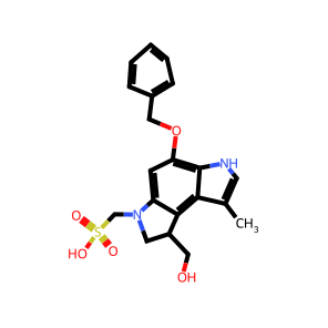 Cc1c[nH]c2c(OCc3ccccc3)cc3c(c12)C(CO)CN3CS(=O)(=O)O